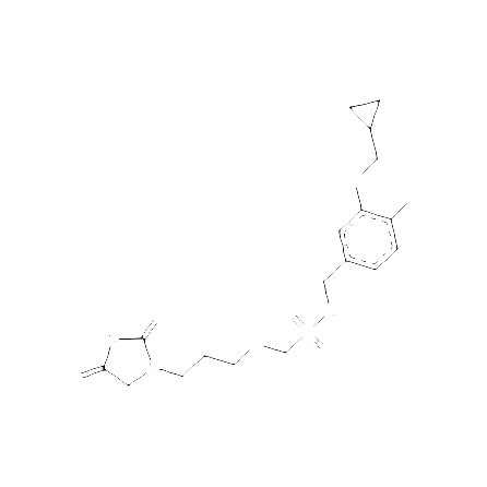 C[C@@H](NS(=O)(=O)COCCCN1CC(=O)NC1=O)c1ccc(F)c(OCC2CC2)c1